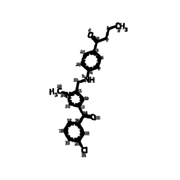 CCCC(=O)c1ccc(NCc2cc(C(=O)c3cccc(Cl)c3)cn2C)cc1